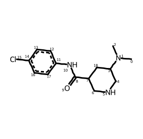 CN(C)C1CNCC(C(=O)Nc2ccc(Cl)cc2)C1